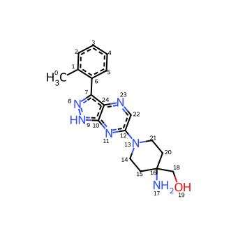 Cc1ccccc1-c1n[nH]c2nc(N3CCC(N)(CO)CC3)cnc12